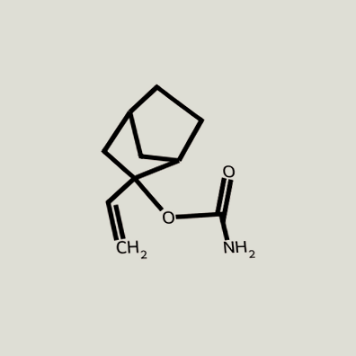 C=CC1(OC(N)=O)CC2CCC1C2